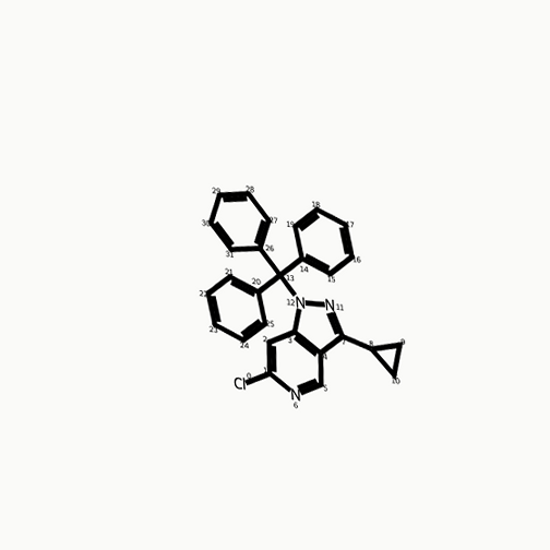 Clc1cc2c(cn1)c(C1CC1)nn2C(c1ccccc1)(c1ccccc1)c1ccccc1